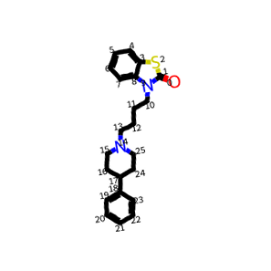 O=c1sc2ccccc2n1CCCCN1CCC(c2ccccc2)CC1